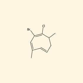 CC1=C/C(Br)=C(/Cl)C(C)C\C=C\1